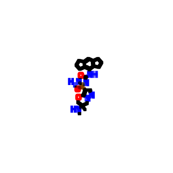 CN[C@]1(C)COc2c(S(N)(=O)=NC(=O)Nc3c4c(cc5c3CCC5)CCC4)cnn2C1